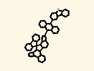 c1ccc2c(c1)-c1ccccc1C21c2c(ccc3cc(-c4c5ccccc5c(-c5ccc6sc7ccccc7c6c5)c5ccccc45)ccc23)-c2c1c1ccccc1c1ccccc21